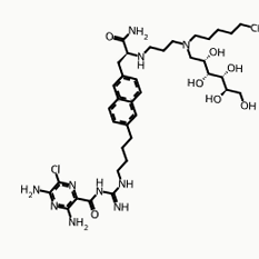 CCCCCCN(CCCN[C@@H](Cc1ccc2cc(CCCCNC(=N)NC(=O)c3nc(Cl)c(N)nc3N)ccc2c1)C(N)=O)C[C@H](O)[C@@H](O)[C@H](O)[C@H](O)CO